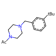 CC(=O)N1CCN(Cc2cccc(C(C)(C)C)c2)CC1